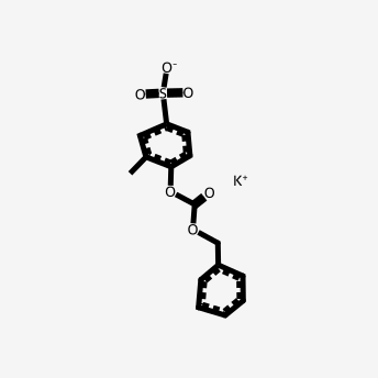 Cc1cc(S(=O)(=O)[O-])ccc1OC(=O)OCc1ccccc1.[K+]